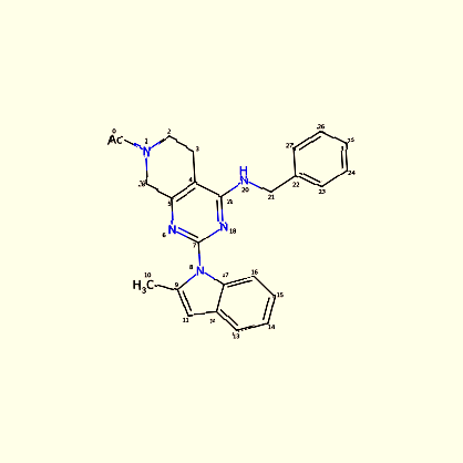 CC(=O)N1CCc2c(nc(-n3c(C)cc4ccccc43)nc2NCc2ccccc2)C1